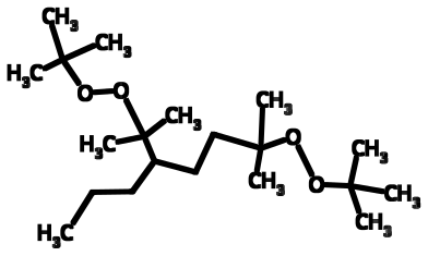 CCCC(CCC(C)(C)OOC(C)(C)C)C(C)(C)OOC(C)(C)C